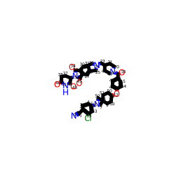 N#Cc1ccc(N2CC3(CCC(Oc4ccc(C(=O)N5CCC(CN6Cc7cc8c(cc7C6)C(=O)N(C6CCC(=O)NC6=O)C8=O)CC5)cc4)CC3)C2)cc1Cl